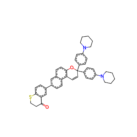 O=C1CCSc2ccc(-c3ccc4c5c(ccc4c3)OC(c3ccc(N4CCCCC4)cc3)(c3ccc(N4CCCCC4)cc3)C=C5)cc21